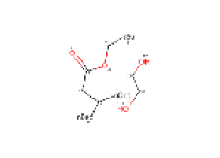 CCCCCCCCCCC(CCCCCCCC)CC(=O)OCC(C)(C)C.OCCO